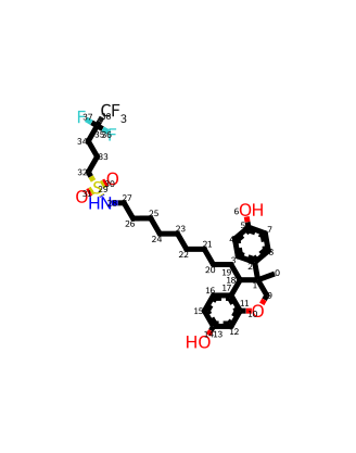 CC1(c2ccc(O)cc2)COc2cc(O)ccc2C1CCCCCCCCCNS(=O)(=O)CCCC(F)(F)C(F)(F)F